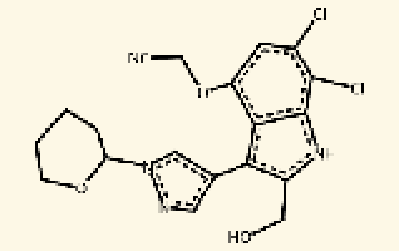 N#CCOc1cc(Cl)c(Cl)c2[nH]c(CO)c(-c3cnn(C4CCCCO4)c3)c12